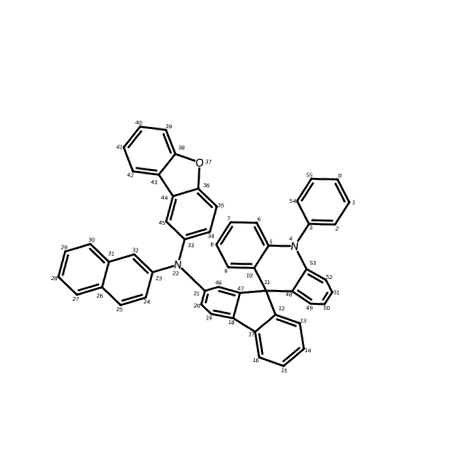 c1ccc(N2c3ccccc3C3(c4ccccc4-c4ccc(N(c5ccc6ccccc6c5)c5ccc6oc7ccccc7c6c5)cc43)c3ccccc32)cc1